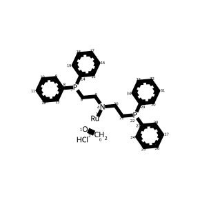 C=O.Cl.[Ru][N](CCP(c1ccccc1)c1ccccc1)CCP(c1ccccc1)c1ccccc1